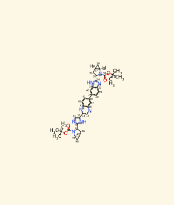 CC(C)(C)OC(=O)N1C(c2ncc(-c3cnc4cc(-c5ccc6nc([C@@H]7C[C@H]8C[C@H]8N7C(=O)OC(C)(C)C)[nH]c6c5)ccc4n3)[nH]2)CC2CC21